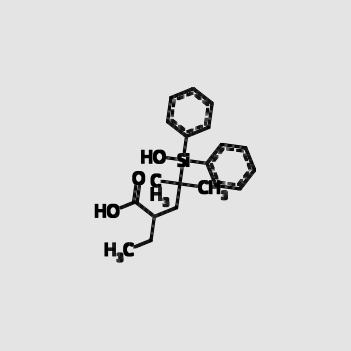 CCC(CC(C)(C)[Si](O)(c1ccccc1)c1ccccc1)C(=O)O